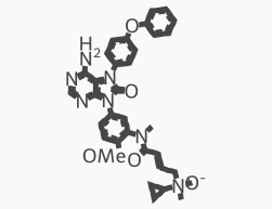 COc1ccc(-n2c(=O)n(-c3ccc(Oc4ccccc4)cc3)c3c(N)ncnc32)cc1N(C)C(=O)/C=C/C[N+](C)([O-])C1CC1